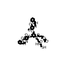 COc1cc2c(cc1OCc1cc(COc3cc4c(cc3OC)C(=O)N3c5ccccc5C[C@H]3C=N4)cc(N(CCCC(=O)NCCS)C(=O)CCC(C)(C)OCC(C)(C)OC)c1)N=C[C@@H]1Cc3ccccc3N1C2=O